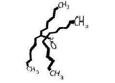 CCCCCCC(CCCCCC)C(CCCCCC)(CCCCCC)P=O